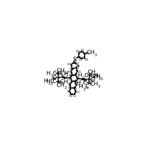 COC(C#Cc1c2cc3ccccc3cc2c(C#CC(OC)(C(C)(C)C)C(C)(C)C)c2cc3sc(Sc4ccc(C)cc4)cc3cc12)(C(C)(C)C)C(C)(C)C